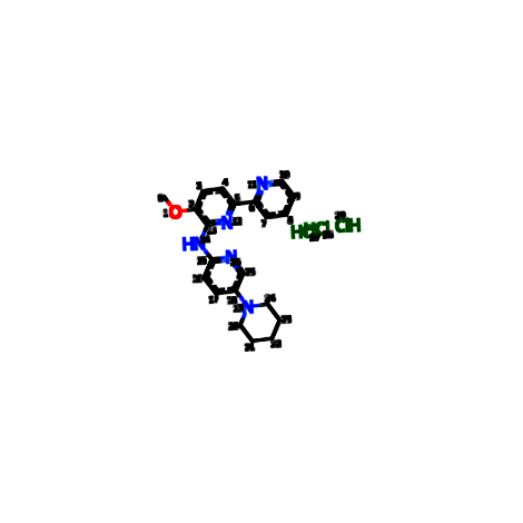 COc1ccc(-c2ccccn2)nc1Nc1ccc(N2CCCCC2)cn1.Cl.Cl.Cl